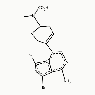 CC(C)c1nc(Br)c2c(N)ncc(C3=CCC(N(C)C(=O)O)CC3)n12